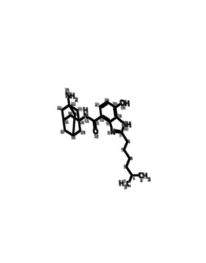 CC(C)CCCCc1nc2c(C(=O)NC34CC5CC(CC(N)(C5)C3)C4)ccc(O)c2[nH]1